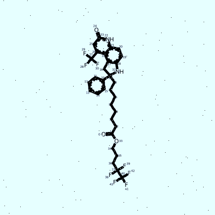 O=C(CCCCCCCC1(c2ccccc2)Cc2c(ccc3[nH]c(=O)cc(C(F)(F)F)c23)N1)OCCCC(F)(F)C(F)(F)F